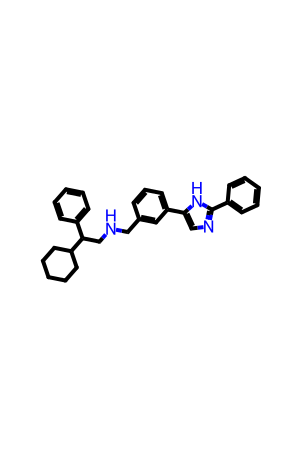 c1ccc(-c2ncc(-c3cccc(CNCC(c4ccccc4)C4CCCCC4)c3)[nH]2)cc1